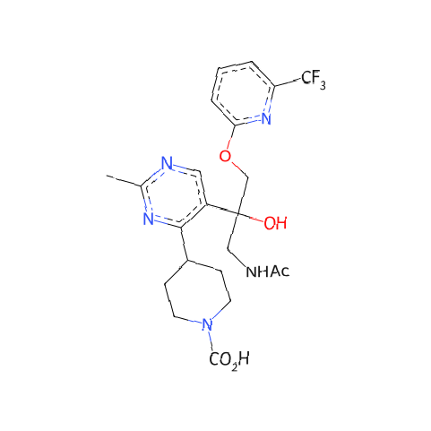 CC(=O)NCC(O)(COc1cccc(C(F)(F)F)n1)c1cnc(C)nc1C1CCN(C(=O)O)CC1